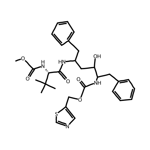 COC(=O)N[C@H](C(=O)NC(Cc1ccccc1)CC(O)C(Cc1ccccc1)NC(=O)OCc1cncs1)C(C)(C)C